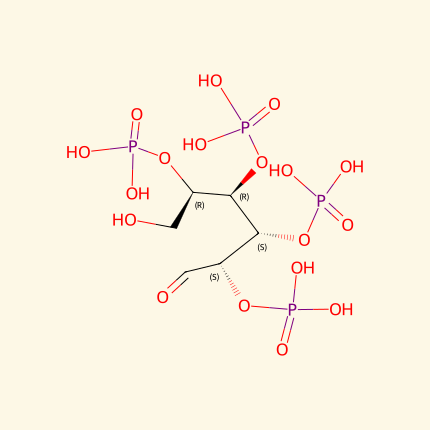 O=C[C@@H](OP(=O)(O)O)[C@@H](OP(=O)(O)O)[C@H](OP(=O)(O)O)[C@@H](CO)OP(=O)(O)O